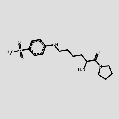 CS(=O)(=O)c1ccc(NCCCCC(N)C(=O)N2CCCC2)cc1